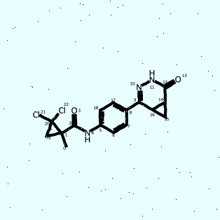 CC1(C(=O)Nc2ccc(C3=NNC(=O)C4CC34)cc2)CC1(Cl)Cl